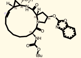 CC(C)(C)OC(=O)N[C@H]1CCCCC/C=C\[C@@H]2C[C@@]2(C(=O)O)NC(=O)[C@@H]2C[C@@H](Oc3nc4ccccc4o3)CN2C1=O